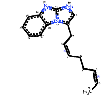 C/C=C\CC/C=C\Cc1c[nH]c2nc3ccccc3n12